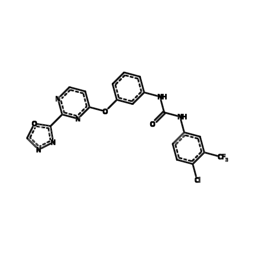 O=C(Nc1cccc(Oc2ccnc(-c3nnco3)n2)c1)Nc1ccc(Cl)c(C(F)(F)F)c1